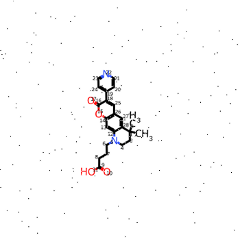 CC1(C)CCN(CCCC(=O)O)c2cc3oc(=O)c(-c4ccncc4)cc3cc21